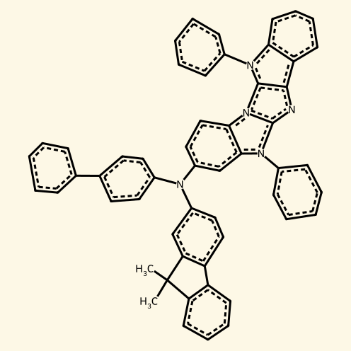 CC1(C)c2ccccc2-c2ccc(N(c3ccc(-c4ccccc4)cc3)c3ccc4c(c3)n(-c3ccccc3)c3nc5c6ccccc6n(-c6ccccc6)c5n43)cc21